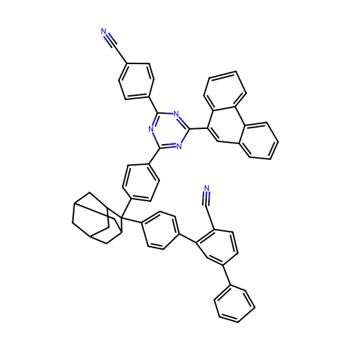 N#Cc1ccc(-c2nc(-c3ccc(C4(c5ccc(-c6cc(-c7ccccc7)ccc6C#N)cc5)C5CC6CC(C5)CC4C6)cc3)nc(-c3cc4ccccc4c4ccccc34)n2)cc1